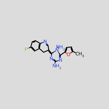 Cc1ccc(C2=NC(N)=N/C(=C3/C=Nc4ccc(F)cc4C3)N2N)o1